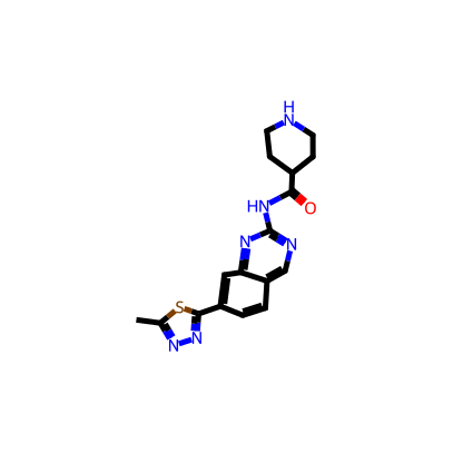 Cc1nnc(-c2ccc3cnc(NC(=O)C4CCNCC4)nc3c2)s1